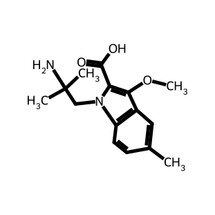 COc1c(C(=O)O)n(CC(C)(C)N)c2ccc(C)cc12